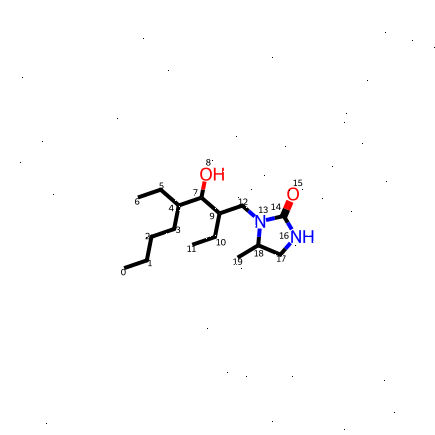 CCCCC(CC)C(O)C(CC)CN1C(=O)NCC1C